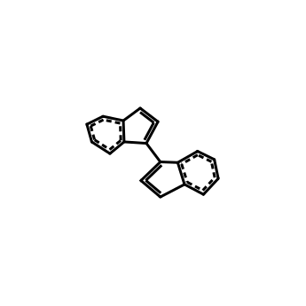 C1=Cc2ccccc2C=1C1=C=Cc2ccccc21